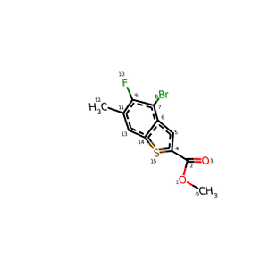 COC(=O)c1cc2c(Br)c(F)c(C)cc2s1